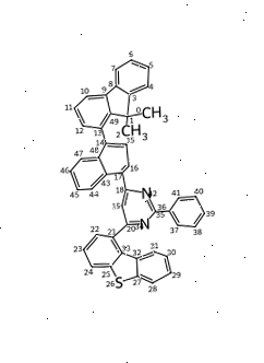 CC1(C)c2ccccc2-c2cccc(-c3ccc(-c4cc(-c5cccc6sc7ccccc7c56)nc(-c5ccccc5)n4)c4ccccc34)c21